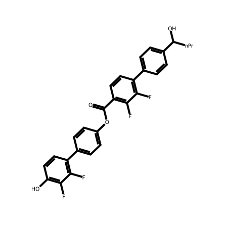 CCCC(O)c1ccc(-c2ccc(C(=O)Oc3ccc(-c4ccc(O)c(F)c4F)cc3)c(F)c2F)cc1